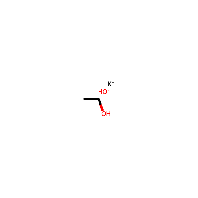 CCO.[K+].[OH-]